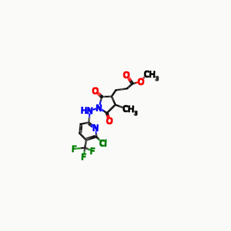 COC(=O)CCC1C(=O)N(Nc2ccc(C(F)(F)F)c(Cl)n2)C(=O)C1C